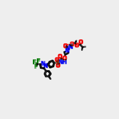 Cc1ccc(-c2cc(C(F)(F)F)nn2-c2ccc(S(=O)(=O)NC(=O)OC3CN([N+]([O-])=NOC(C)OC(=O)C(C)C)C3)cc2)cc1